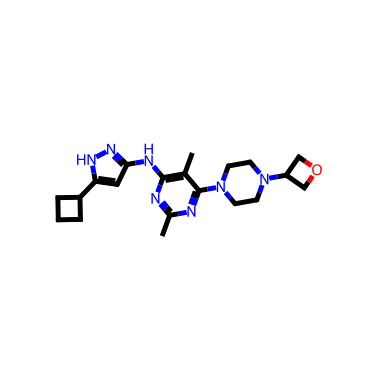 Cc1nc(Nc2cc(C3CCC3)[nH]n2)c(C)c(N2CCN(C3COC3)CC2)n1